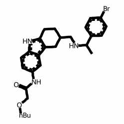 CCCCOCC(=O)Nc1ccc2[nH]c3c(c2c1)CC(CNC(C)c1ccc(Br)cc1)CC3